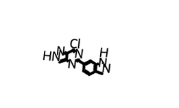 Clc1nc(-c2ccc3cn[nH]c3c2)nc2c[nH]nc12